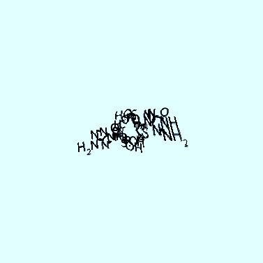 Nc1nc2c(nnn2[C@@H]2S[C@@H]3COP(O)(=S)O[C@@H]4[C@@H](COP(O)(=S)O[C@@H]2C3)OC[C@@]4(F)n2cnc3c(N)ncnc32)c(=O)[nH]1